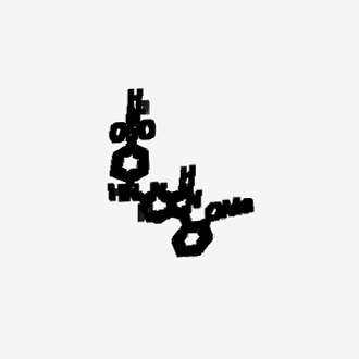 COc1ccccc1-c1n[nH]c2nc(Nc3ccc(S(N)(=O)=O)cc3)ncc12